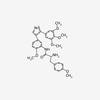 COc1ccc(CC(N)C(=O)Nc2cc(-c3cnsc3-c3cc(OC)c(OC)c(OC)c3)ccc2OC)cc1